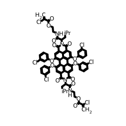 C=C(Cl)C(=O)OCCNC(=O)C(CC(C)C)N1C(=O)c2cc(Oc3cccc(Cl)c3)c3c4c(Oc5cccc(Cl)c5)cc5c6c(cc(Oc7cccc(Cl)c7)c(c7c(Oc8cccc(Cl)c8)cc(c2c37)C1=O)c64)C(=O)N(C(CC(C)C)C(=O)NCCOC(=O)C(=C)Cl)C5=O